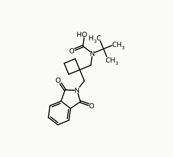 CC(C)(C)N(CC1(CN2C(=O)c3ccccc3C2=O)CCC1)C(=O)O